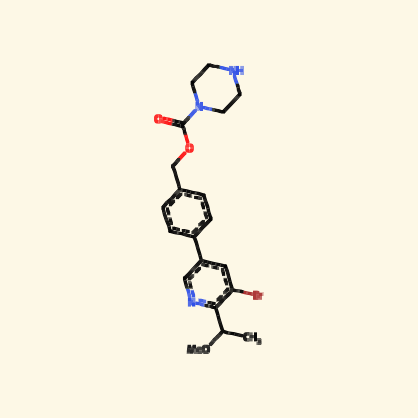 COC(C)c1ncc(-c2ccc(COC(=O)N3CCNCC3)cc2)cc1Br